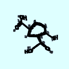 O=C(O)c1ccc(S)c(C(=O)O)c1